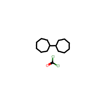 C1CCCC(C2CCCCCC2)CC1.O=C(Cl)Cl